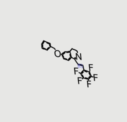 Fc1c(F)c(F)c(/C=C/C2=NCCc3cc(OCc4ccccc4)ccc32)c(F)c1F